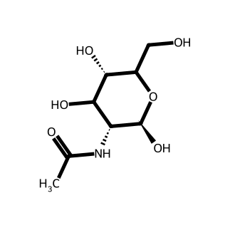 CC(=O)N[C@@H]1C(O)[C@H](O)C(CO)O[C@H]1O